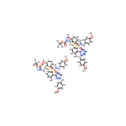 COc1ccc(CN(Cc2ccc(OC)cc2)S(=O)(=O)c2c(SCCNC(=O)OC(C)(C)C)ccc(I)c2-c2nnn(Cc3ccc(OC)cc3)n2)cc1.COc1ccc(CN(Cc2ccc(OC)cc2)S(=O)(=O)c2c(SCCNC(=O)OC(C)(C)C)ccc(I)c2-c2nnnn2Cc2ccc(OC)cc2)cc1